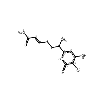 COC(=O)/C=C/CCC(C)c1cc(O)c(C(C)=O)c(=O)o1